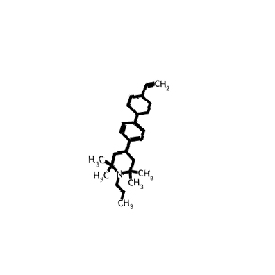 C=CC1CCC(c2ccc(C3CC(C)(C)N(CCC)C(C)(C)C3)cc2)CC1